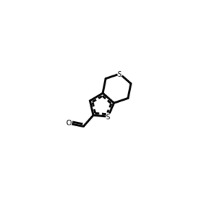 O=Cc1cc2c(s1)CCSC2